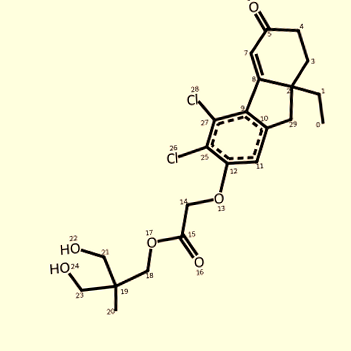 CCC12CCC(=O)C=C1c1c(cc(OCC(=O)OCC(C)(CO)CO)c(Cl)c1Cl)C2